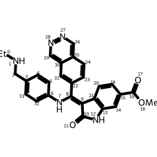 CCNCc1ccc(N/C(=C2\C(=O)Nc3cc(C(=O)OC)ccc32)c2ccc3cnncc3c2)cc1